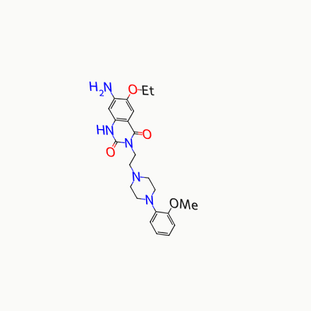 CCOc1cc2c(=O)n(CCN3CCN(c4ccccc4OC)CC3)c(=O)[nH]c2cc1N